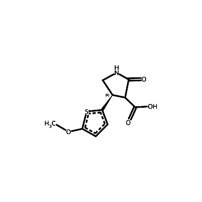 COc1ccc([C@H]2CNC(=O)C2C(=O)O)s1